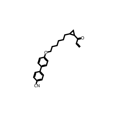 C=CC(=O)C1CC1CCCCCCOc1ccc(-c2ccc(C#N)cc2)cc1